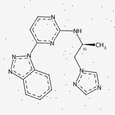 C[C@@H](Cn1cncn1)Nc1nccc(-n2nnc3ccccc32)n1